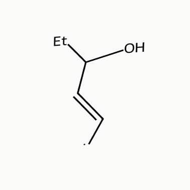 [CH2]C=CC(O)CC